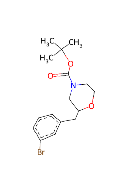 CC(C)(C)OC(=O)N1CCOC(Cc2cccc(Br)c2)C1